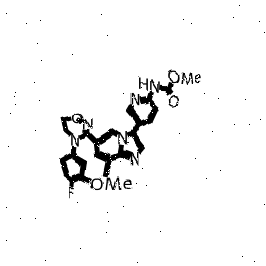 COC(=O)Nc1ccc(-c2cnc3c(C)cc(C4=NOCCN4c4ccc(F)c(OC)c4)cn23)cn1